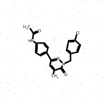 CC(=O)Nc1ccc(-c2cc(C)c(=O)n(Cc3ccc(Cl)cc3)n2)cc1